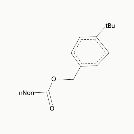 CCCCCCCCCC(=O)OCc1ccc(C(C)(C)C)cc1